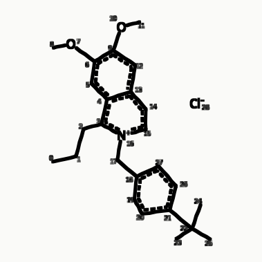 CCCc1c2cc(OC)c(OC)cc2cc[n+]1Cc1ccc(C(C)(C)C)cc1.[Cl-]